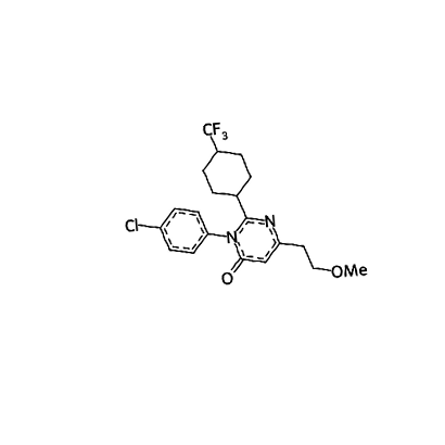 COCCc1cc(=O)n(-c2ccc(Cl)cc2)c(C2CCC(C(F)(F)F)CC2)n1